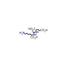 NCCCC[C@H](NC(=S)N[C@@H](CCC(=O)O)C(=O)O)C(=O)O